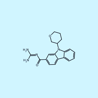 NC(N)=NC(=O)c1ccc2c3ccccc3n(C3CCCOC3)c2c1